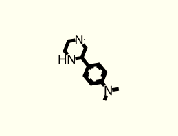 CN(C)c1ccc(C2C[N]CCN2)cc1